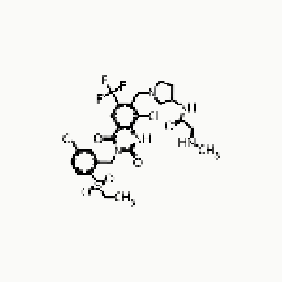 CCS(=O)(=O)c1ccc(Cl)cc1Cn1c(=O)[nH]c2c(Cl)c(CN3CCC(NC(=O)CNC)C3)c(C(F)(F)F)cc2c1=O